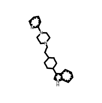 c1ccc(N2CCN(CCC3CCC(c4c[nH]c5ccccc45)CC3)CC2)nc1